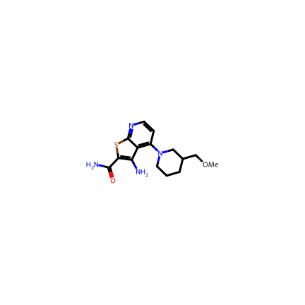 COCC1CCCN(c2ccnc3sc(C(N)=O)c(N)c23)C1